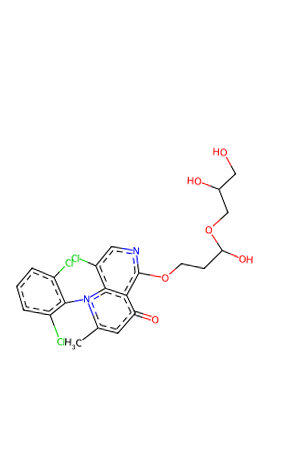 Cc1cc(=O)c2c(OCCC(O)OCC(O)CO)ncc(Cl)c2n1-c1c(Cl)cccc1Cl